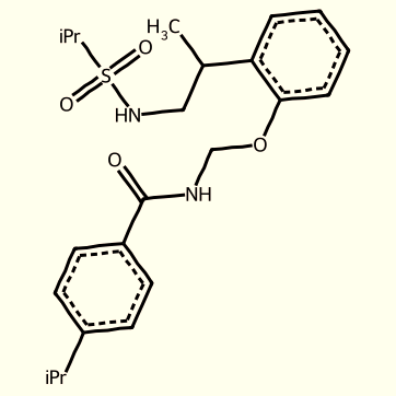 CC(C)c1ccc(C(=O)NCOc2ccccc2C(C)CNS(=O)(=O)C(C)C)cc1